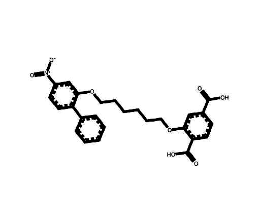 O=C(O)c1ccc(C(=O)O)c(OCCCCCCOc2cc([N+](=O)[O-])ccc2-c2ccccc2)c1